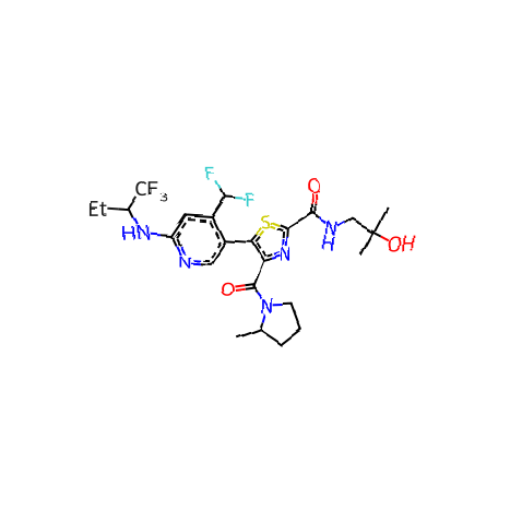 CCC(Nc1cc(C(F)F)c(-c2sc(C(=O)NCC(C)(C)O)nc2C(=O)N2CCCC2C)cn1)C(F)(F)F